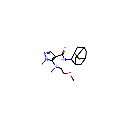 COCCN(C)c1c(C(=O)NC2C3CC4CC(C3)CC2C4)cnn1C